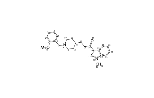 COc1ccccc1CN1CCC(CCC(=O)c2nn(C)c3ccccc23)CC1